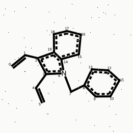 C=Cc1c(C=C)n(Cc2ccccc2)c2ccccc12